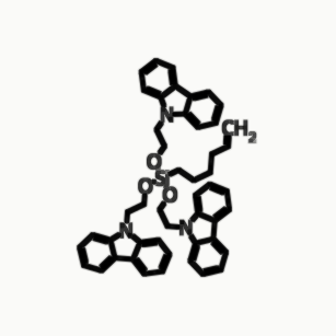 C=CCCCC[Si](OCCn1c2ccccc2c2ccccc21)(OCCn1c2ccccc2c2ccccc21)OCCn1c2ccccc2c2ccccc21